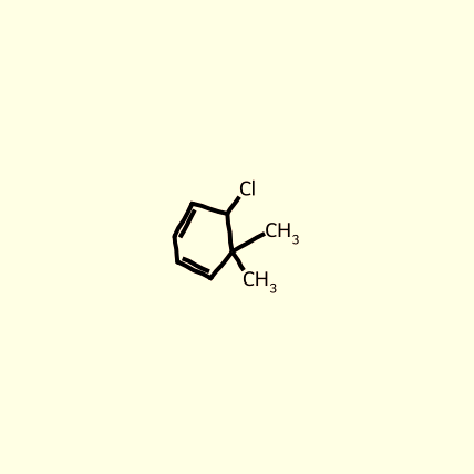 CC1(C)C=CC=CC1Cl